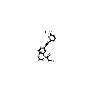 Cc1cccc(C#Cc2ccc3c(c2)N(C(=O)CCl)CCO3)n1